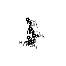 C=C(Nc1ccc(C[C@H](N)C(=C)OC2CCCC2)cc1)c1ccc(Nc2ncc3c(n2)N(C2CCCC2)C(CC)C(=O)N3C)c(OC)c1